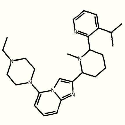 CCN1CCN(c2cccc3nc(C4CCCC(c5ncccc5C(C)C)N4C)cn23)CC1